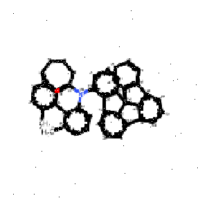 Cc1ccccc1-c1c(C)cccc1N(C1=CC=CCCC1)c1cccc2c1-c1cccc3c1C21C2=C(C=CCC2)c2cccc-3c21